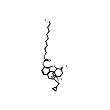 C=C1CCC2(O)C3Cc4ccc(OC(=O)OCCCCCCCCCC)c5c4C2(CCN3CC2CC2)C1O5